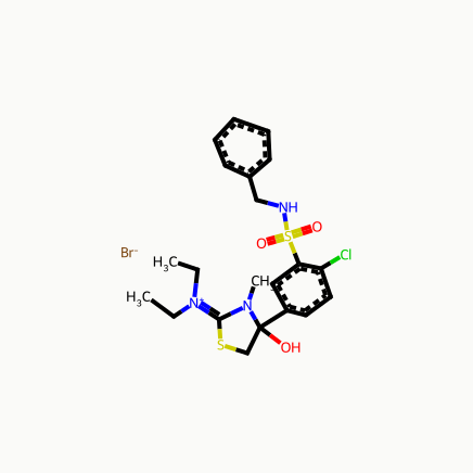 CC[N+](CC)=C1SCC(O)(c2ccc(Cl)c(S(=O)(=O)NCc3ccccc3)c2)N1C.[Br-]